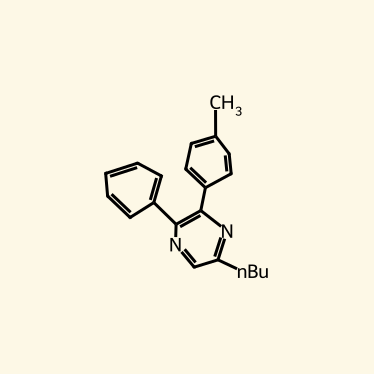 CCCCc1cnc(-c2ccccc2)c(-c2ccc(C)cc2)n1